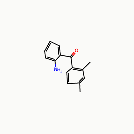 Cc1ccc(C(=O)c2ccccc2N)c(C)c1